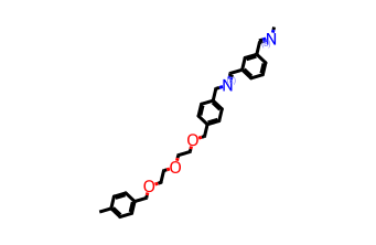 C/N=C/c1cccc(/C=N/Cc2ccc(COCCOCCOCc3ccc(C)cc3)cc2)c1